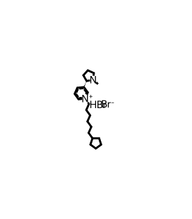 Br.CN1CCC[C@H]1c1ccc[n+](CCCCCCC2CCCC2)c1.[Br-]